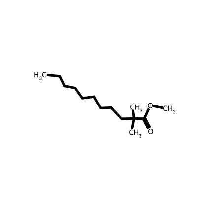 CCCCCCCCCC(C)(C)C(=O)OC